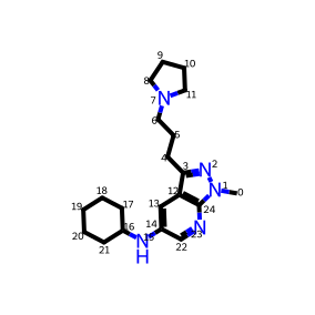 Cn1nc(CCCN2CCCC2)c2cc(NC3CCCCC3)cnc21